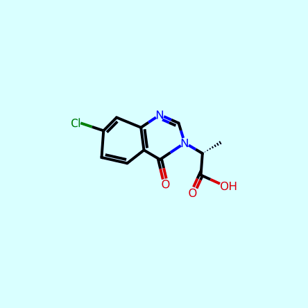 C[C@H](C(=O)O)n1cnc2cc(Cl)ccc2c1=O